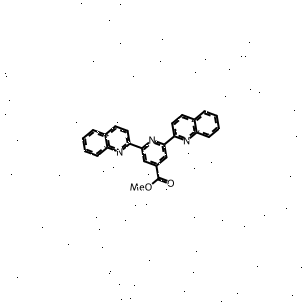 COC(=O)c1cc(-c2ccc3ccccc3n2)nc(-c2ccc3ccccc3n2)c1